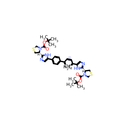 C=C(/C=C\C(=C)c1cnc([C@@H]2CSCN2C(=O)OC(C)(C)C)[nH]1)c1ccc(-c2cnc([C@@H]3CSCN3C(=O)OC(C)(C)C)[nH]2)cc1